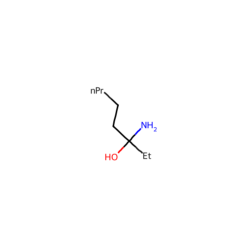 CCCCCC(N)(O)CC